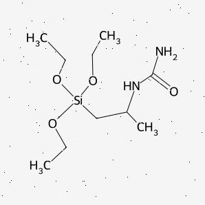 CCO[Si](CC(C)NC(N)=O)(OCC)OCC